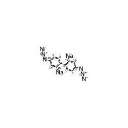 [N-]=[N+]=Nc1ccc(-c2ccc(N=[N+]=[N-])c[c]2[Na])[c]([Na])c1